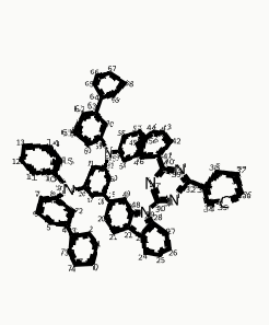 c1ccc(-c2cccc(N(c3ccccc3)c3cc(-c4ccc5c6ccccc6n(-c6nc(-c7ccccc7)nc(-c7ccccc7)n6)c5c4)cc(N(c4ccccc4)c4cccc(-c5ccccc5)c4)c3)c2)cc1